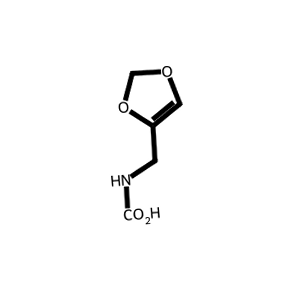 O=C(O)NCC1=COCO1